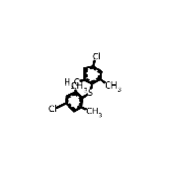 Cc1cc(Cl)cc(C)c1Sc1c(C)cc(Cl)cc1C